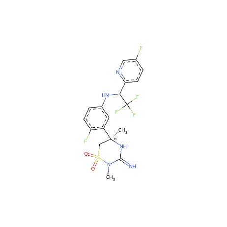 CN1C(=N)N[C@](C)(c2cc(NC(c3ccc(F)cn3)C(F)(F)F)ccc2F)CS1(=O)=O